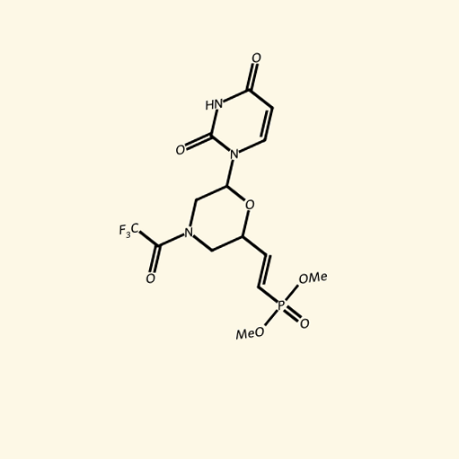 COP(=O)(/C=C/C1CN(C(=O)C(F)(F)F)CC(n2ccc(=O)[nH]c2=O)O1)OC